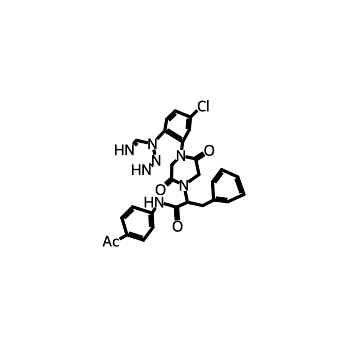 CC(=O)c1ccc(NC(=O)C(Cc2ccccc2)N2CC(=O)N(c3cc(Cl)ccc3N(C=N)N=N)CC2=O)cc1